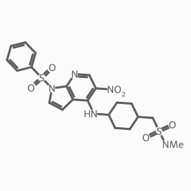 CNS(=O)(=O)CC1CCC(Nc2c([N+](=O)[O-])cnc3c2ccn3S(=O)(=O)c2ccccc2)CC1